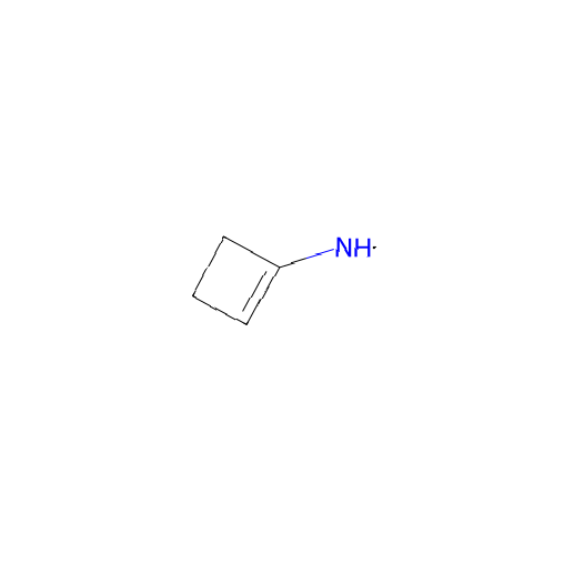 [NH]C1=CCC1